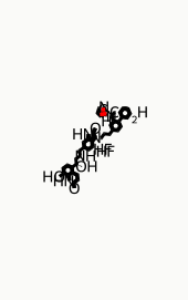 F.F.O=C(O)N(c1cc(CCCn2c(=O)[nH]c3cc(CNC[C@H](O)c4ccc(O)c5[nH]c(=O)ccc45)ccc32)ccc1-c1ccccc1)[C@H]1CN2CCC1CC2